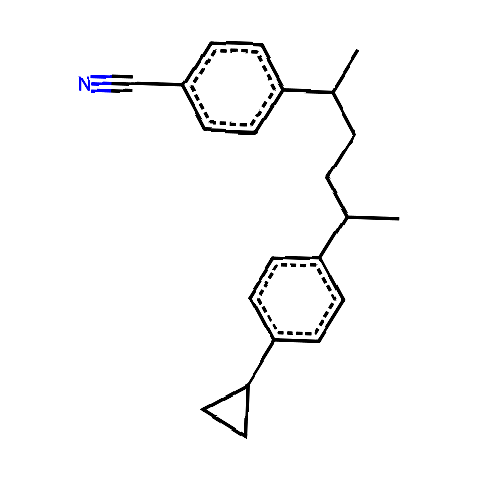 CC(CCC(C)c1ccc(C2CC2)cc1)c1ccc(C#N)cc1